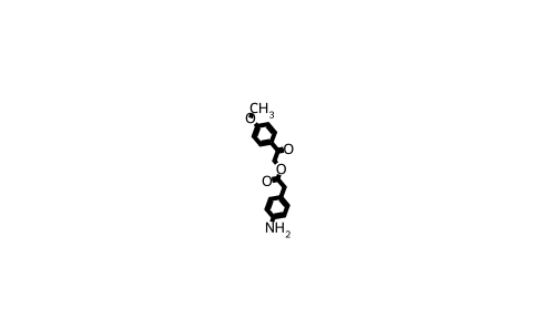 COc1ccc(C(=O)COC(=O)Cc2ccc(N)cc2)cc1